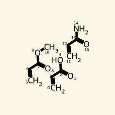 C=CC(=O)O.C=CC(=O)OC.C=CC(N)=O